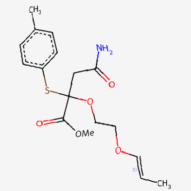 C/C=C/OCCOC(CC(N)=O)(Sc1ccc(C)cc1)C(=O)OC